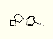 Nc1ccc(N2CCCC3(CCO3)C2)cn1